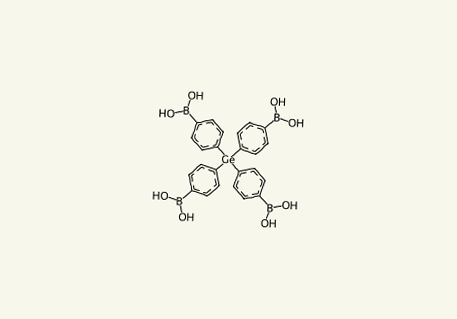 OB(O)c1cc[c]([Ge]([c]2ccc(B(O)O)cc2)([c]2ccc(B(O)O)cc2)[c]2ccc(B(O)O)cc2)cc1